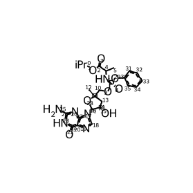 CC(C)OC(=O)C(C)NP(=O)(OC[C@]1(C)C[C@@H](O)[C@H](n2cnc3c(=O)[nH]c(N)nc32)O1)Oc1ccccc1